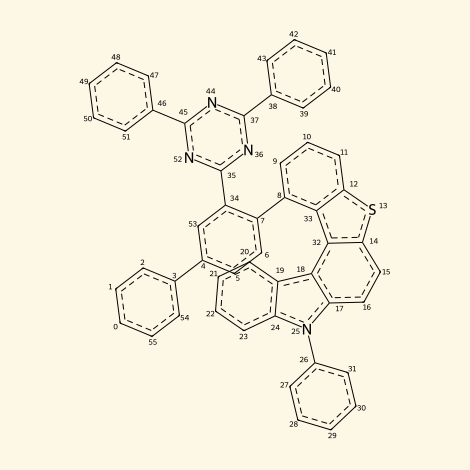 c1ccc(-c2ccc(-c3cccc4sc5ccc6c(c7ccccc7n6-c6ccccc6)c5c34)c(-c3nc(-c4ccccc4)nc(-c4ccccc4)n3)c2)cc1